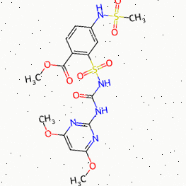 COC(=O)c1ccc(NS(C)(=O)=O)cc1S(=O)(=O)NC(=O)Nc1nc(OC)cc(OC)n1